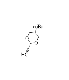 C#CC1OCC([C@@H](C)CC)CO1